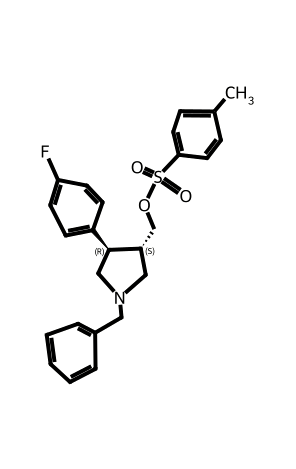 Cc1ccc(S(=O)(=O)OC[C@@H]2CN(Cc3ccccc3)C[C@H]2c2ccc(F)cc2)cc1